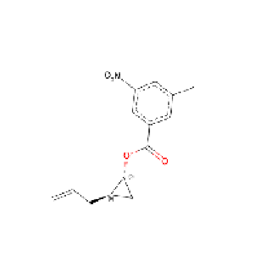 C=CC[C@@H]1C[C@H]1OC(=O)c1cc(C)cc([N+](=O)[O-])c1